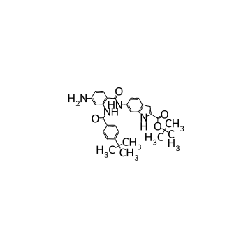 CC(C)(C)OC(=O)c1cc2ccc(NC(=O)c3ccc(N)cc3NC(=O)c3ccc(C(C)(C)C)cc3)cc2[nH]1